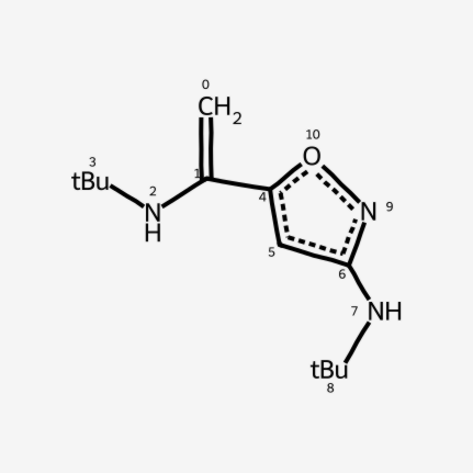 C=C(NC(C)(C)C)c1cc(NC(C)(C)C)no1